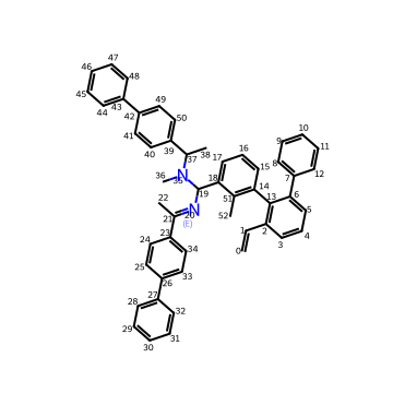 C=Cc1cccc(-c2ccccc2)c1-c1cccc(C(/N=C(\C)c2ccc(-c3ccccc3)cc2)N(C)C(C)c2ccc(-c3ccccc3)cc2)c1C